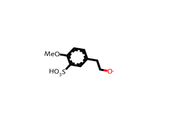 COc1ccc(CC[O])cc1S(=O)(=O)O